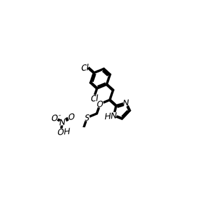 CSCOC(Cc1ccc(Cl)cc1Cl)c1ncc[nH]1.O=[N+]([O-])O